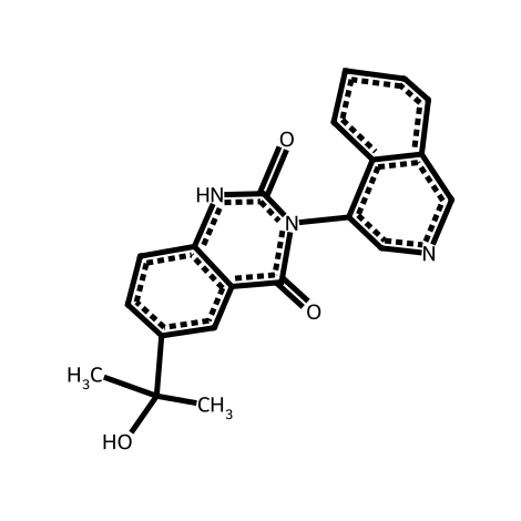 CC(C)(O)c1ccc2[nH]c(=O)n(-c3cncc4ccccc34)c(=O)c2c1